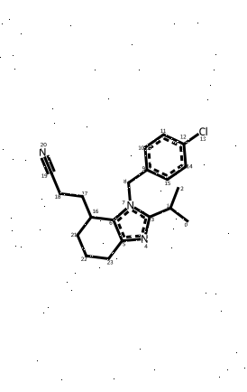 CC(C)c1nc2c(n1Cc1ccc(Cl)cc1)C(CCC#N)CCC2